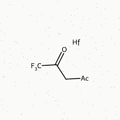 CC(=O)CC(=O)C(F)(F)F.[Hf]